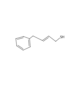 SCC=CCc1ccccc1